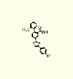 Cc1ccccc1-c1ccc(-c2nc(-c3ccc(Br)cc3)cs2)cc1C(=O)O